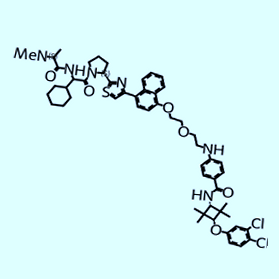 CN[C@@H](C)C(=O)NC(C(=O)N1CCC[C@H]1c1nc(-c2ccc(OCCOCCNc3ccc(C(=O)N[C@H]4C(C)(C)[C@H](Oc5ccc(C#N)c(Cl)c5)C4(C)C)cc3)c3ccccc23)cs1)C1CCCCC1